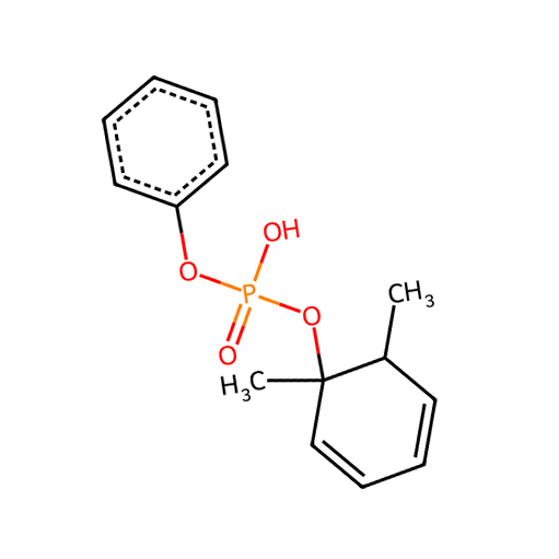 CC1C=CC=CC1(C)OP(=O)(O)Oc1ccccc1